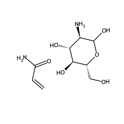 C=CC(N)=O.N[C@H]1C(O)O[C@H](CO)[C@@H](O)[C@@H]1O